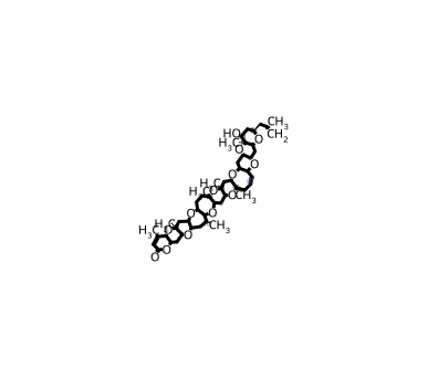 C=C(C)C[C@@H]1C[C@H](O)[C@]2(C)OC3CC4OC5C[C@]6(C)O[C@]7(C)CCC8OC9C[C@]%10(C)OC%11C(C)=CC(=O)OC%11CC%10OC9C[C@@H](C)C8OC7CC6O[C@@]5(C)C/C=C\C4OC3CC2O1